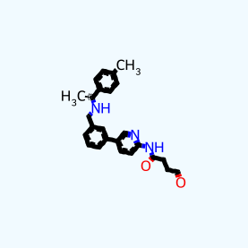 Cc1ccc([C@@H](C)NCc2cccc(-c3ccc(NC(=O)CCC=O)nc3)c2)cc1